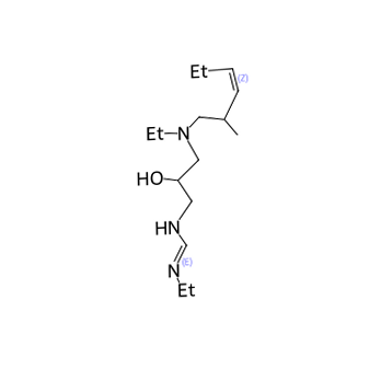 CC/C=C\C(C)CN(CC)CC(O)CN/C=N/CC